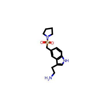 NCCc1c[nH]c2ccc(CS(=O)(=O)N3CCCC3)cc12